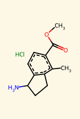 COC(=O)c1ccc2c(c1C)CCC2N.Cl